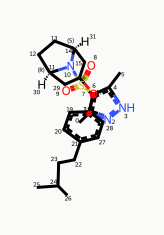 Cc1n[nH]c(C)c1S(=O)(=O)N1[C@@H]2CC[C@H]1CC(Oc1ccc(CCC(C)C)cc1)C2